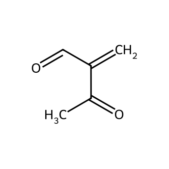 C=C(C=O)C(C)=O